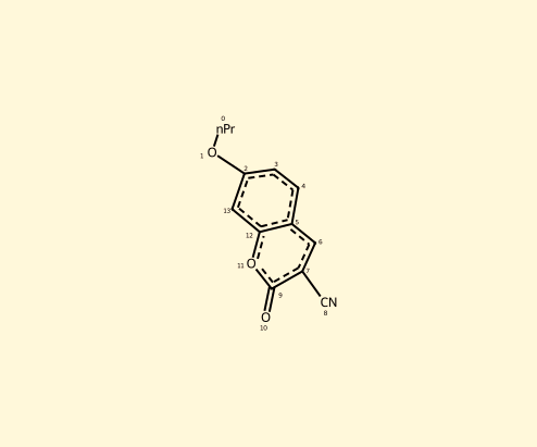 CCCOc1ccc2cc(C#N)c(=O)oc2c1